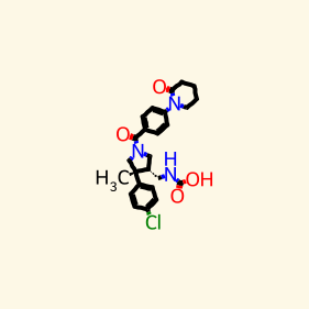 C[C@@]1(c2ccc(Cl)cc2)CN(C(=O)c2ccc(N3CCCCC3=O)cc2)C[C@@H]1CNC(=O)O